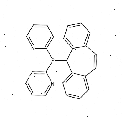 C1=Cc2ccccc2C(P(c2ccccn2)c2ccccn2)c2ccccc21